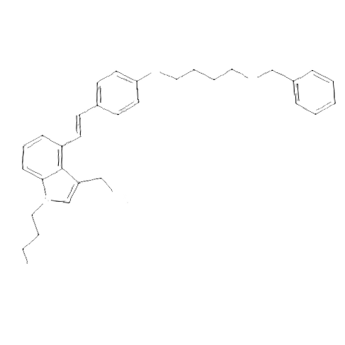 O=C(O)CCCn1cc(CC(=O)O)c2c(C=Cc3ccc(OCCCCOCc4ccccc4)cc3)cccc21